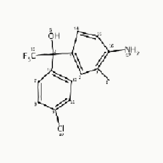 Cc1cc(C(O)(c2ccc(Cl)cc2)C(F)(F)F)ccc1N